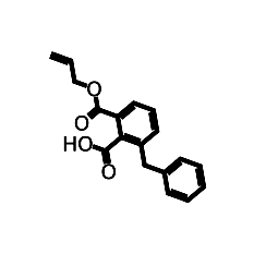 C=CCOC(=O)c1cccc(Cc2ccccc2)c1C(=O)O